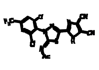 CC(=O)N=c1sc(-c2nc(C#N)c(C#N)[nH]2)nn1-c1c(Cl)cc(C(F)(F)F)cc1Cl